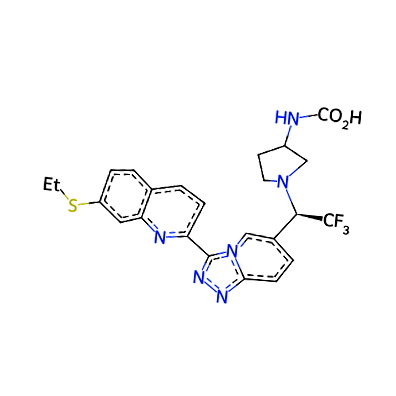 CCSc1ccc2ccc(-c3nnc4ccc([C@@H](N5CCC(NC(=O)O)C5)C(F)(F)F)cn34)nc2c1